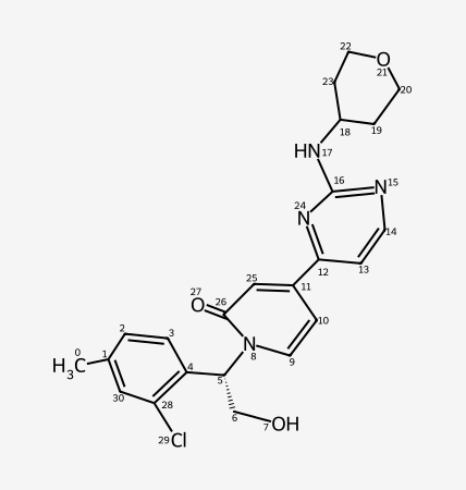 Cc1ccc([C@@H](CO)n2ccc(-c3ccnc(NC4CCOCC4)n3)cc2=O)c(Cl)c1